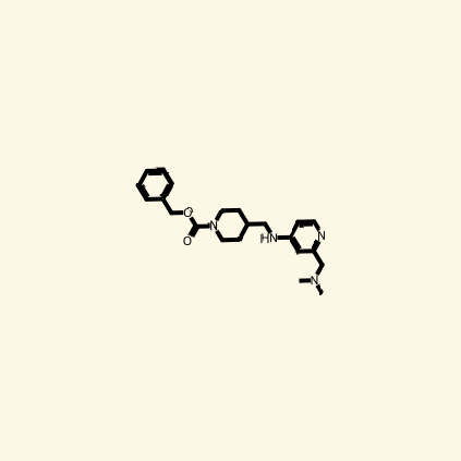 CN(C)Cc1cc(NCC2CCN(C(=O)OCc3ccccc3)CC2)ccn1